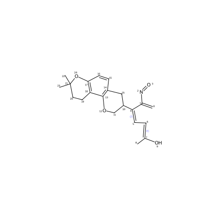 C=C(N=O)/C(=C\C=C(/C)O)C1COc2c(ccc3c2CCC(C)(C)O3)C1